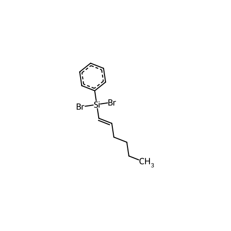 CCCCC=C[Si](Br)(Br)c1ccccc1